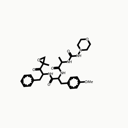 COc1ccc(CC(NC(=O)C(C)NC(=O)NN2CCOCC2)C(=O)NC(Cc2ccccc2)C(=O)C2(C)CO2)cc1